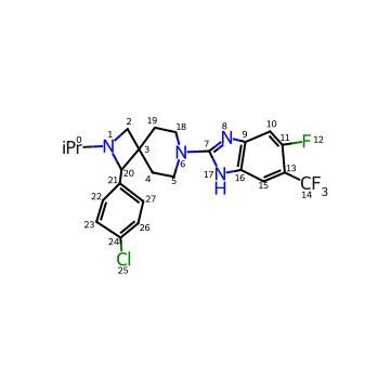 CC(C)N1CC2(CCN(c3nc4cc(F)c(C(F)(F)F)cc4[nH]3)CC2)C1c1ccc(Cl)cc1